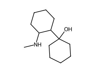 CNC1CCCCC1C1(O)CCCCC1